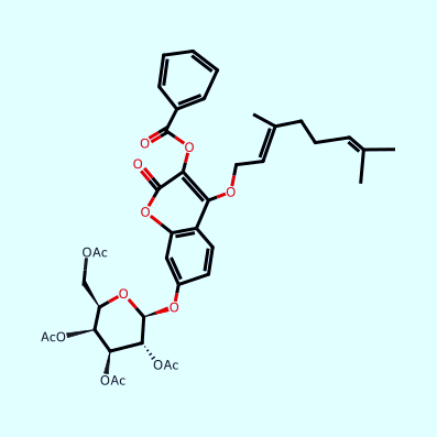 CC(=O)OC[C@H]1O[C@@H](Oc2ccc3c(OC/C=C(\C)CCC=C(C)C)c(OC(=O)c4ccccc4)c(=O)oc3c2)[C@H](OC(C)=O)[C@@H](OC(C)=O)[C@H]1OC(C)=O